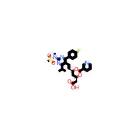 CC(C)c1nc(N(C)S(C)(=O)=O)nc(-c2ccc(F)cc2)c1/C=C/[C@@H]1C[C@H](CC(=O)O)OC(c2cccnc2)O1